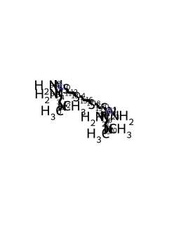 CN(C)CCN(N)/C(=N\N)SCCSCCCSCCS/C(=N/N)N(N)CCN(C)C